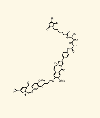 COc1cc2c(cc1OCCCOc1cc3c(cc1OC)C(=O)N1C=C(C4CC4)C[C@@H]1C=N3)N=C[C@H]1CC(c3ccc(NC(=O)[C@@H](C)NC(=O)C(NC(=O)CCCCCN4C(=O)C=C(Br)C4=O)C(C)C)cc3)=CN1C2=O